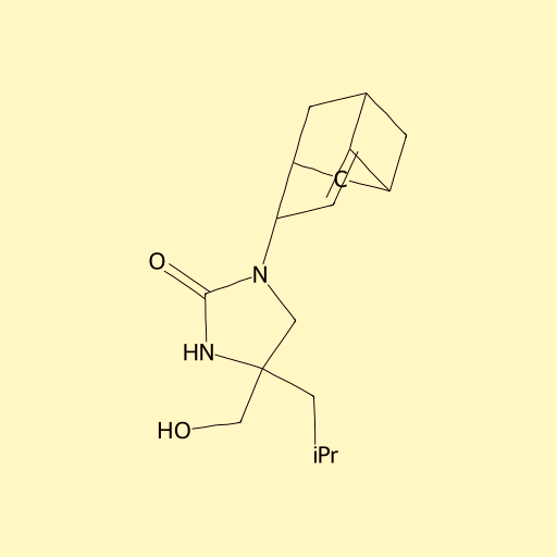 CC(C)CC1(CO)CN(C2C=C3C4CC3CC2C4)C(=O)N1